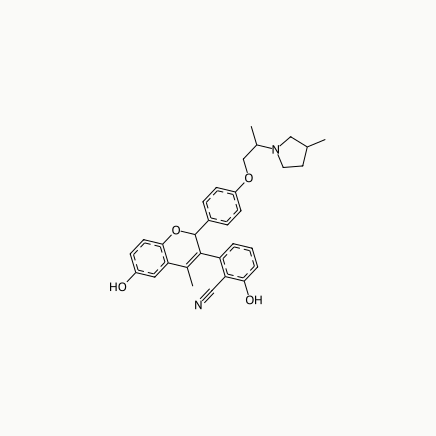 CC1=C(c2cccc(O)c2C#N)C(c2ccc(OCC(C)N3CCC(C)C3)cc2)Oc2ccc(O)cc21